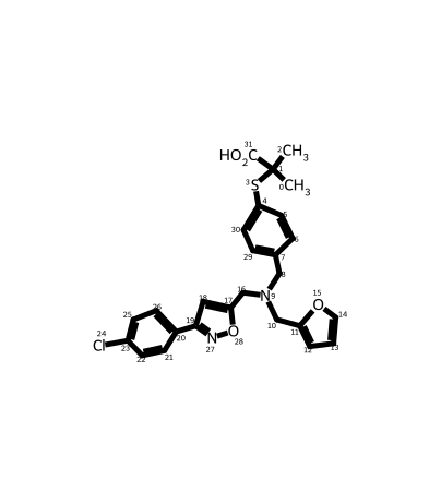 CC(C)(Sc1ccc(CN(Cc2ccco2)Cc2cc(-c3ccc(Cl)cc3)no2)cc1)C(=O)O